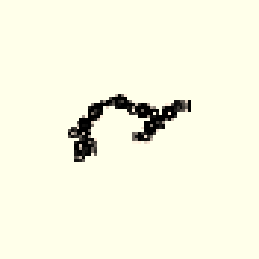 O=C1CCC(N2Cc3cc(N4CCN(CCCN5CCC(COc6ccc(Oc7c(-c8ccc(O)cc8)sc8cc(O)ccc78)cc6)CC5)CC4)ccc3C2=O)C(=O)N1